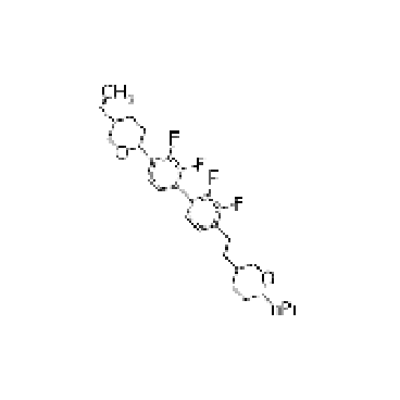 C=CC1CCC(c2ccc(-c3ccc(CCC4CCC(CCC)OC4)c(F)c3F)c(F)c2F)OC1